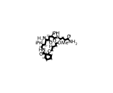 COCCCCOc1ccccc1C(=O)NC[C@@H](C[C@H](N)[C@@H](O)C[C@H](C(=O)NCCCC(N)=O)C(C)C)C(C)C